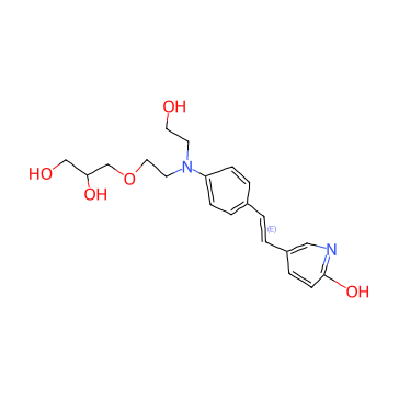 OCCN(CCOCC(O)CO)c1ccc(/C=C/c2ccc(O)nc2)cc1